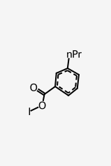 CCCc1cccc(C(=O)OI)c1